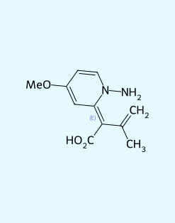 C=C(C)/C(C(=O)O)=C1/C=C(OC)C=CN1N